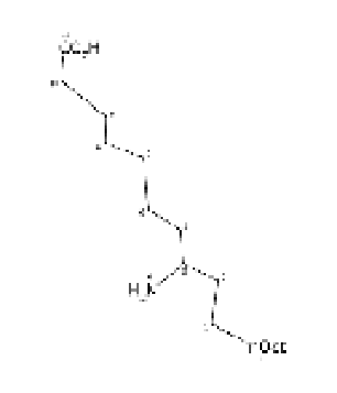 CCCCCCCCCCC(N)CCCCCCC(=O)O